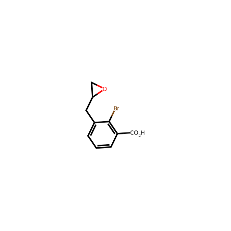 O=C(O)c1cccc(CC2CO2)c1Br